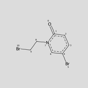 O=c1ccc(Br)cn1CCBr